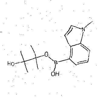 Cn1ccc2c(B(O)OC(C)(C)C(C)(C)O)cccc21